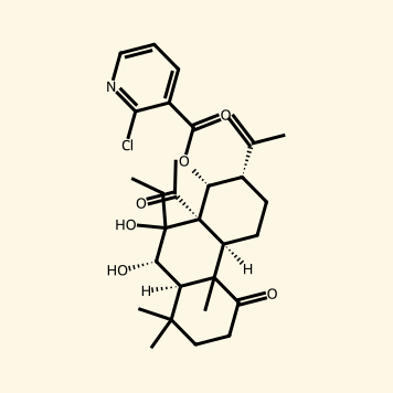 C=C(C)[C@@H]1CC[C@H]2C3(C)C(=O)CCC(C)(C)[C@H]3[C@H](O)C(O)(CC)[C@@]2(C(C)=O)[C@@H]1OC(=O)c1cccnc1Cl